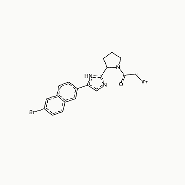 CC(C)[CH]C(=O)N1CCCC1c1ncc(-c2ccc3cc(Br)ccc3c2)[nH]1